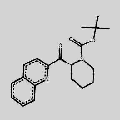 CC(C)(C)OC(=O)N1CCCC[C@H]1C(=O)c1ccc2ccccc2n1